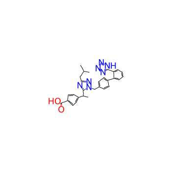 CC(C)Cc1nc(C(C)c2ccc(C(=O)O)cc2)n(Cc2ccc(-c3ccccc3-c3nnn[nH]3)cc2)n1